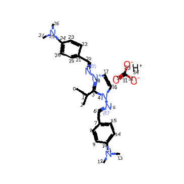 CC(C)c1n(/N=C/c2ccc(N(C)C)cc2)cc[n+]1/N=C/c1ccc(N(C)C)cc1.O=C([O-])[O-].[H+]